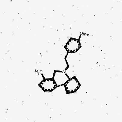 COc1ccc(CCN2Cc3c(C)cccc3-c3ccccc32)cc1